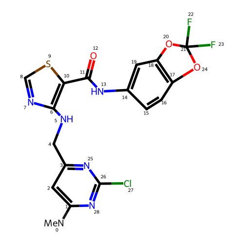 CNc1cc(CNc2ncsc2C(=O)Nc2ccc3c(c2)OC(F)(F)O3)nc(Cl)n1